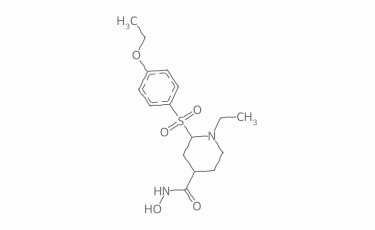 CCOc1ccc(S(=O)(=O)C2CC(C(=O)NO)CCN2CC)cc1